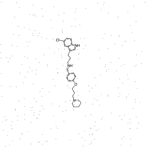 Clc1ccc2[nH]cc(CCCNSc3ccc(OCCCN4CCCCC4)cc3)c2c1